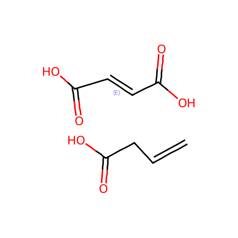 C=CCC(=O)O.O=C(O)/C=C/C(=O)O